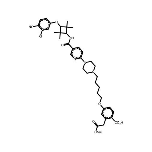 COC(=O)Cc1cc(OCCCCCN2CCN(c3ccc(C(=O)NC4C(C)(C)C(Oc5ccc(C#N)c(Cl)c5)C4(C)C)cn3)CC2)ccc1C(=O)O